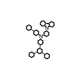 c1ccc(-c2ccc(N(c3ccc(-c4cc(-c5ccccc5)cc(-c5ccccc5)c4)cc3)c3cccc(-n4c5ccccc5c5ccccc54)c3)cc2)cc1